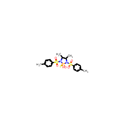 Cc1ccc(S(=O)(=O)N2C(C)C(C)N(S(=O)(=O)c3ccc(C)cc3)P2(O)=S)cc1